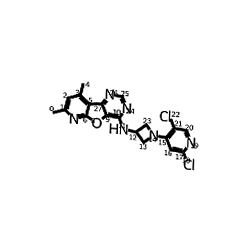 Cc1cc(C)c2c(n1)oc1c(NC3CN(c4cc(Cl)ncc4Cl)C3)ncnc12